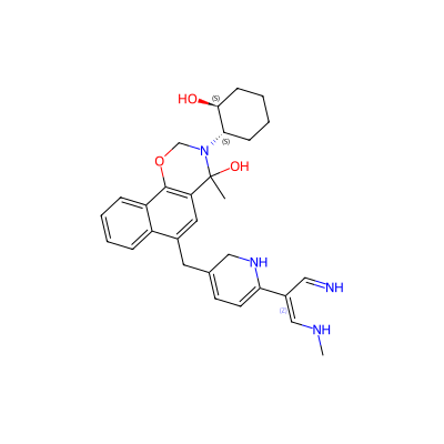 CN/C=C(\C=N)C1=CC=C(Cc2cc3c(c4ccccc24)OCN([C@H]2CCCC[C@@H]2O)C3(C)O)CN1